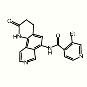 CCc1cnccc1C(=O)Nc1cc2c(c3ccncc13)NC(=O)CC2